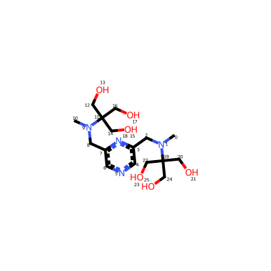 CN(Cc1cncc(CN(C)C(CO)(CO)CO)n1)C(CO)(CO)CO